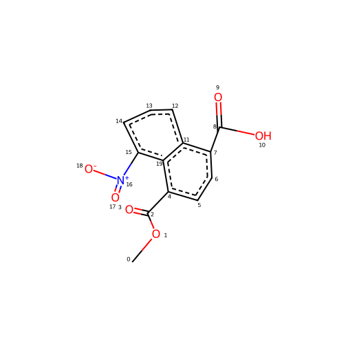 COC(=O)c1ccc(C(=O)O)c2cccc([N+](=O)[O-])c12